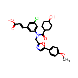 COc1ccc(-c2cnc(CN(C(=O)C3CCC(O)CC3)c3cc(Cl)cc(C=CC(=O)O)c3)o2)cc1